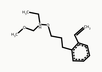 C=Cc1ccccc1CCCO[SiH](CC)COC